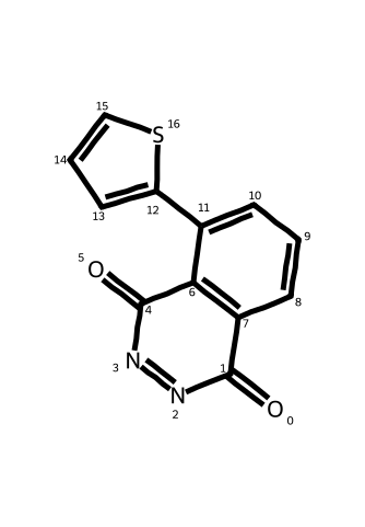 O=C1N=NC(=O)c2c1cccc2-c1cccs1